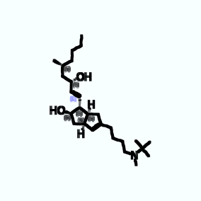 CCCC[C@H](C)C[C@H](O)/C=C/[C@@H]1[C@H]2CC(CCCCN(C)C(C)(C)C)=C[C@H]2C[C@H]1O